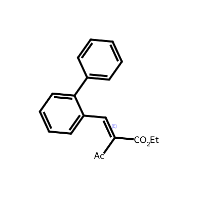 CCOC(=O)/C(=C/c1ccccc1-c1ccccc1)C(C)=O